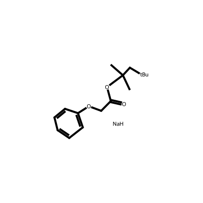 CC(C)(C)CC(C)(C)OC(=O)COc1ccccc1.[NaH]